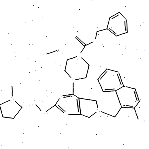 COc1ccc2ccccc2c1CN1Cc2nc(OC[C@@H]3CCCN3C)nc(N3CCN(C(=O)OCc4ccccc4)[C@@H](CC#N)C3)c2C1